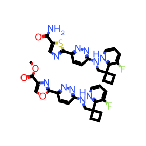 COC(=O)c1coc(-c2ccc(NCC3(c4ncccc4F)CCC3)nn2)n1.NC(=O)c1cnc(-c2ccc(NCC3(c4ncccc4F)CCC3)nn2)s1